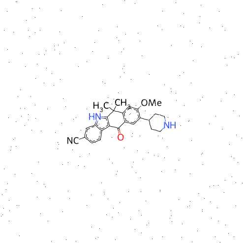 COc1cc2c(cc1C1CCNCC1)C(=O)c1c([nH]c3cc(C#N)ccc13)C2(C)C